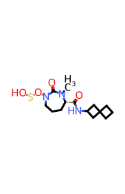 CN1C(=O)N(OSO)CCC[C@H]1C(=O)NC1CC2(CCC2)C1